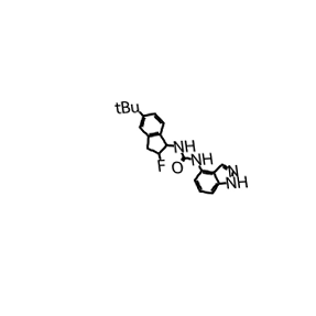 CC(C)(C)c1ccc2c(c1)CC(F)C2NC(=O)Nc1cccc2[nH]ncc12